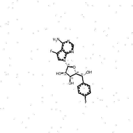 Nc1ncnc2c1c(F)cn2[C@@H]1O[C@H]([C@H](O)c2ccc(F)cc2)[C@@H](O)[C@H]1O